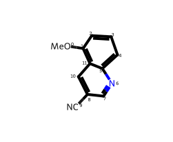 COc1cccc2ncc(C#N)cc12